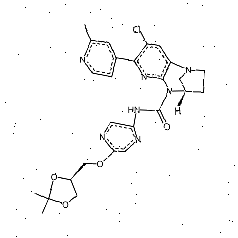 Cc1cc(-c2nc3c(cc2Cl)N2CC[C@@H](C2)N3C(=O)Nc2cnc(OC[C@H]3COC(C)(C)O3)cn2)ccn1